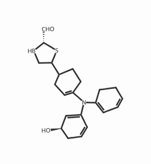 O=C[C@H]1BCC(C2CC=C(N(C3=C[C@H](O)CC=C3)C3=CC=CCC3)CC2)S1